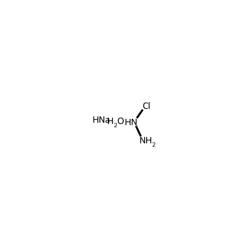 NNCl.O.[NaH]